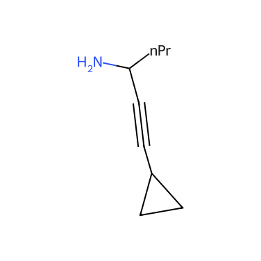 CCCC(N)C#CC1CC1